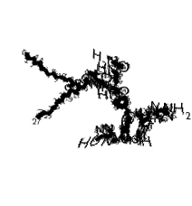 CCCCCCCCCCCCCC(=O)OC(CCCCCCCCCCC)CC(=O)N[C@H](C(=O)N[C@@H](CCCNC(N)=O)C(=O)Nc1ccc(CSP2(=O)OC[C@H]3O[C@@H](n4cnc5c(N)ncnc54)[C@H](F)[C@@H]3OP(=O)(S)OC[C@H]3O[C@@H](n4cnc5c(O)ncnc54)C[C@@H]32)cc1)C(C)C